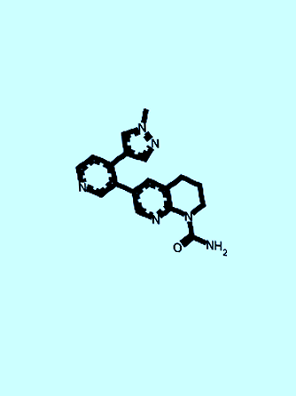 Cn1cc(-c2ccncc2-c2cnc3c(c2)CCCN3C(N)=O)cn1